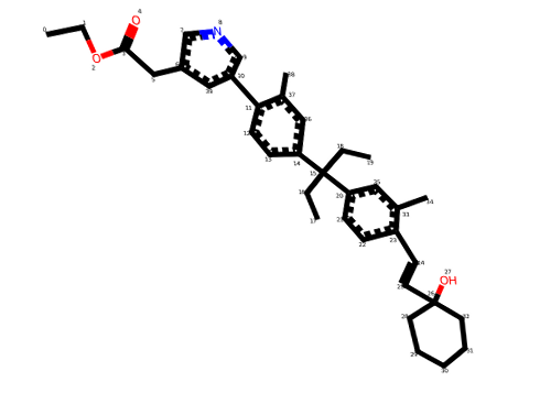 CCOC(=O)Cc1cncc(-c2ccc(C(CC)(CC)c3ccc(C=CC4(O)CCCCC4)c(C)c3)cc2C)c1